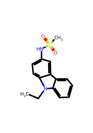 CCn1c2ccccc2c2cc(NS(C)(=O)=O)ccc21